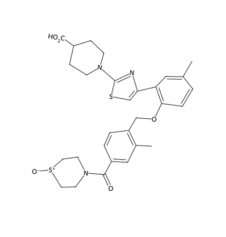 Cc1ccc(OCc2ccc(C(=O)N3CC[S+]([O-])CC3)cc2C)c(-c2csc(N3CCC(C(=O)O)CC3)n2)c1